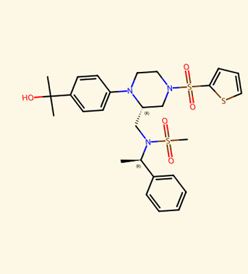 C[C@H](c1ccccc1)N(C[C@H]1CN(S(=O)(=O)c2cccs2)CCN1c1ccc(C(C)(C)O)cc1)S(C)(=O)=O